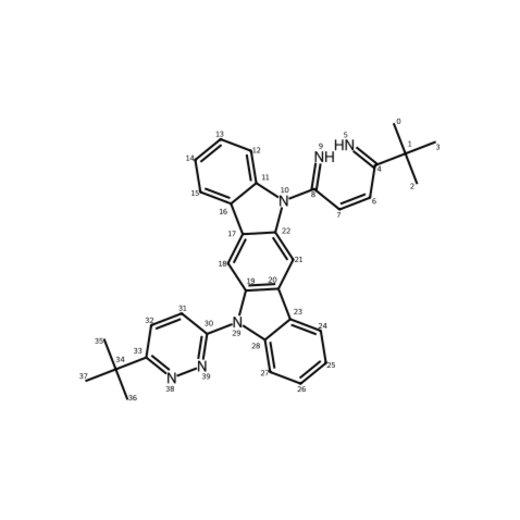 CC(C)(C)C(=N)/C=C\C(=N)n1c2ccccc2c2cc3c(cc21)c1ccccc1n3-c1ccc(C(C)(C)C)nn1